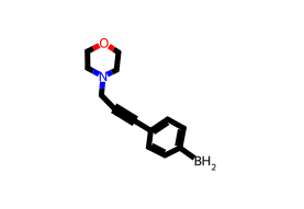 Bc1ccc(C#CCN2CCOCC2)cc1